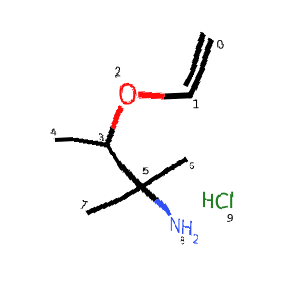 C=COC(C)C(C)(C)N.Cl